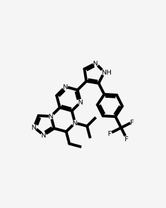 CCC1c2nncn2-c2cnc(-c3cn[nH]c3-c3ccc(C(F)(F)F)cc3)nc2N1C(C)C